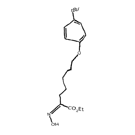 CCOC(=O)/C(CCCCCOc1ccc(C(C)(C)C)cc1)=N\O